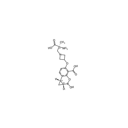 C[C@](N)(CN1CC(Oc2ccc3c(c2C(=O)O)OB(O)[C@@H]2C[C@H]32)C1)C(=O)O